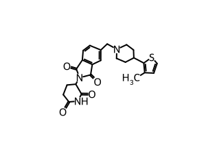 Cc1ccsc1C1CCN(Cc2ccc3c(c2)C(=O)N(C2CCC(=O)NC2=O)C3=O)CC1